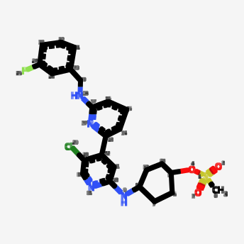 CS(=O)(=O)OC1CCC(Nc2cc(-c3cccc(NCc4cccc(F)c4)n3)c(Cl)cn2)CC1